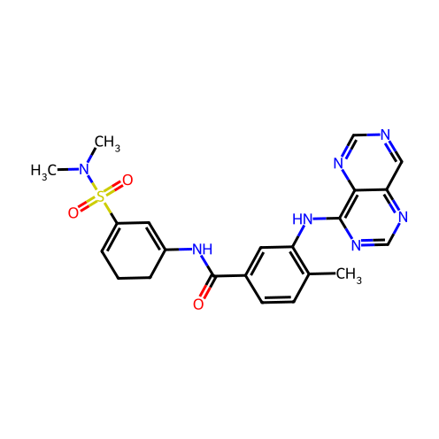 Cc1ccc(C(=O)NC2=CC(S(=O)(=O)N(C)C)=CCC2)cc1Nc1ncnc2cncnc12